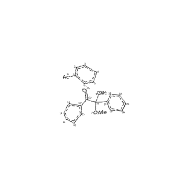 CC(=O)c1ccccc1.COC(OC)(C(=O)c1ccccc1)c1ccccc1